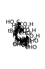 CC(C)(C)c1nn(-c2nc(Nc3cc(OC=O)cc(OC=O)c3)nc(Nc3cc(OC=O)cc(C(=O)O)c3)n2)c(N)c1N=Nc1nnc(CCc2nnc(N=Nc3c(C(C)(C)C)nn(-c4nc(Nc5cc(OC=O)cc(C(=O)O)c5)nc(Nc5cc(C(=O)O)cc(C(=O)O)c5)n4)c3N)s2)s1